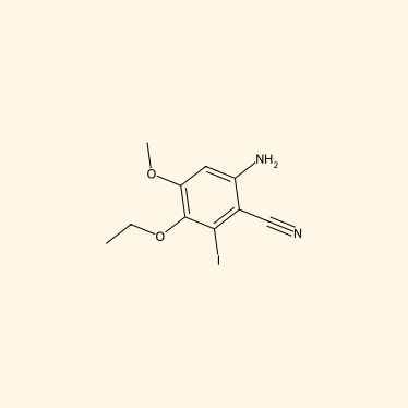 CCOc1c(OC)cc(N)c(C#N)c1I